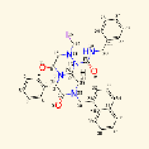 O=C1[C@H](c2ccccc2)N2C(=O)CN(CI)N(C(=O)NCc3ccccc3)[C@H]2CN1Cc1cccc2ccccc12